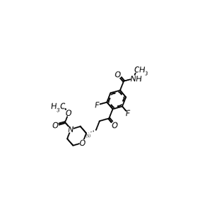 CNC(=O)c1cc(F)c(C(=O)CC[C@H]2CN(C(=O)OC)CCO2)c(F)c1